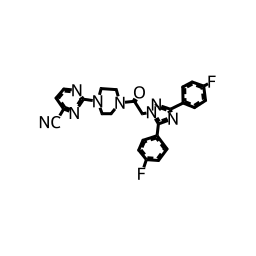 N#Cc1ccnc(N2CCN(C(=O)Cn3nc(-c4ccc(F)cc4)nc3-c3ccc(F)cc3)CC2)n1